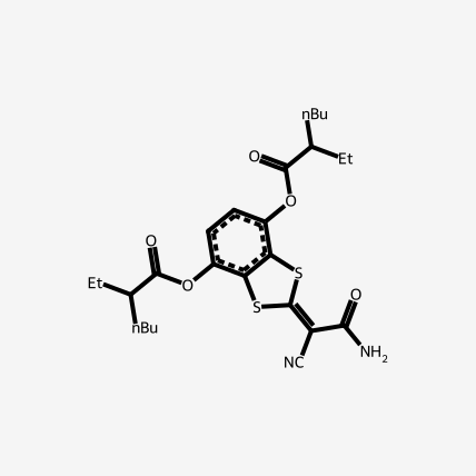 CCCCC(CC)C(=O)Oc1ccc(OC(=O)C(CC)CCCC)c2c1SC(=C(C#N)C(N)=O)S2